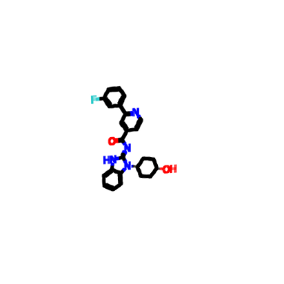 O=C(/N=c1\[nH]c2ccccc2n1[C@H]1CC[C@@H](O)CC1)c1ccnc(-c2cccc(F)c2)c1